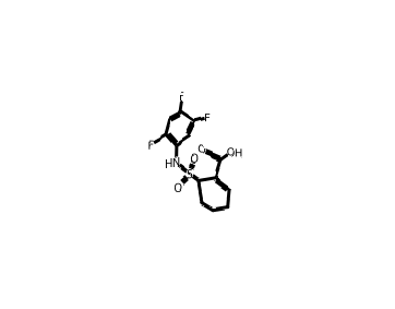 O=C(O)C1=CCCCC1S(=O)(=O)Nc1cc(F)c(F)cc1F